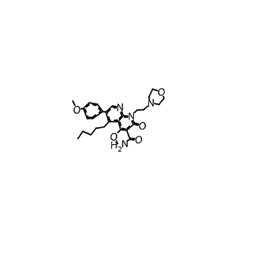 CCCCCc1c(-c2ccc(OC)cc2)cnc2c1c(OC)c(C(N)=O)c(=O)n2CCN1CCOCC1